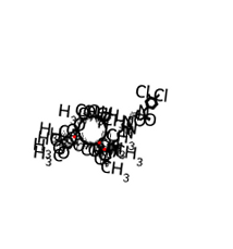 CC[C@H]1OC(=O)[C@H](C)[C@@H](O[C@H]2C[C@@](C)(OC)[C@@H](O)[C@H](C)O2)[C@H](C)[C@@H](O[C@@H]2O[C@H](C)C[C@H](N(C)CCCc3cn(C[C@H]4CN(c5ccc(Cl)c(Cl)c5)C(=O)O4)nn3)[C@H]2O)[C@](C)(O)C[C@@H](C)CN(C)[C@H](C)[C@@H](O)[C@]1(C)O